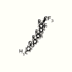 CC1CCC(C(=O)Oc2ccc(-c3cc(F)c(-c4ccc5c(F)c(C#CC(F)(F)F)c(F)cc5c4)c(F)c3)c(F)c2)CC1